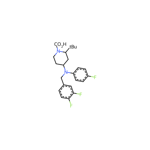 CC(C)(C)C1CC(N(Cc2ccc(F)c(F)c2)c2ccc(F)cc2)CCN1C(=O)O